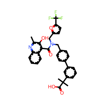 Cc1nc2ccccc2c(C(=O)N(Cc2ccc(-c3cccc(C(C)(C)C(=O)O)c3)cc2)Cc2ccc(C(F)(F)F)o2)c1O